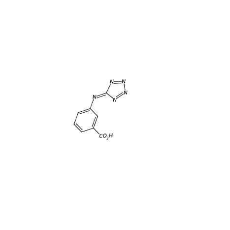 O=C(O)c1cccc(N=C2N=NN=N2)c1